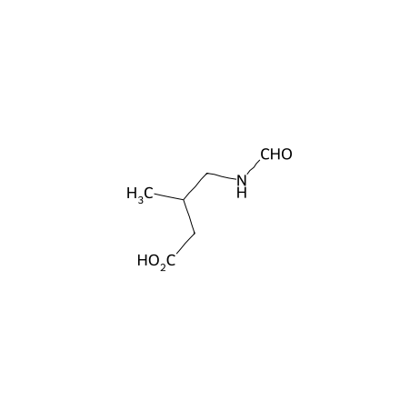 CC(CNC=O)CC(=O)O